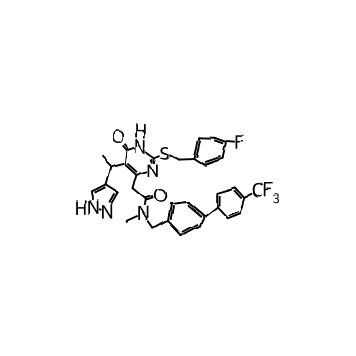 CC(c1cn[nH]c1)c1c(CC(=O)N(C)Cc2ccc(-c3ccc(C(F)(F)F)cc3)cc2)nc(SCc2ccc(F)cc2)[nH]c1=O